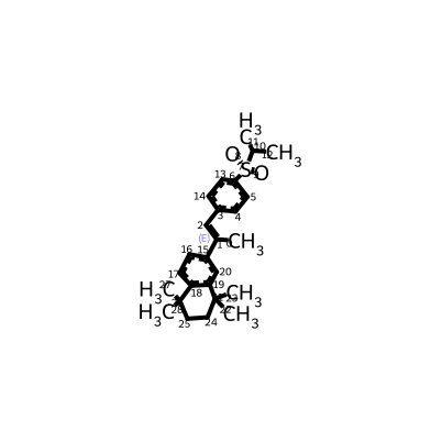 C/C(=C\c1ccc(S(=O)(=O)C(C)C)cc1)c1ccc2c(c1)C(C)(C)CCC2(C)C